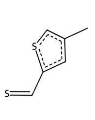 Cc1csc(C=S)c1